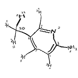 [2H]c1nc(N)c([2H])c([2H])c1C([2H])([2H])[2H]